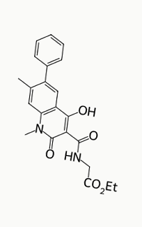 CCOC(=O)CNC(=O)c1c(O)c2cc(-c3ccccc3)c(C)cc2n(C)c1=O